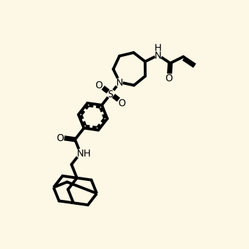 C=CC(=O)NC1CCCN(S(=O)(=O)c2ccc(C(=O)NCC34CC5CC(CC(C5)C3)C4)cc2)CC1